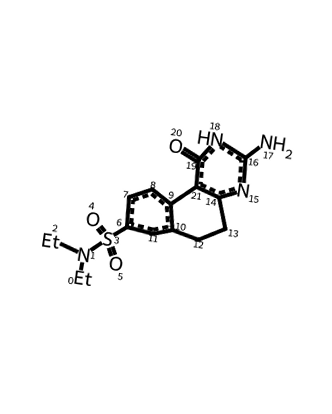 CCN(CC)S(=O)(=O)c1ccc2c(c1)CCc1nc(N)[nH]c(=O)c1-2